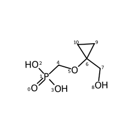 O=P(O)(O)COC1(CO)CC1